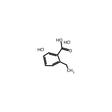 CCc1ccccc1C(=O)O.Cl.Cl